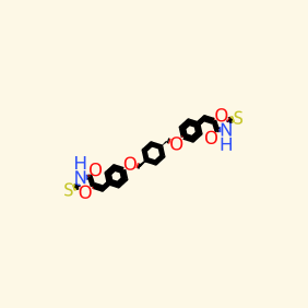 O=C1NC(=S)OC1=Cc1ccc(OC[C@H]2CC[C@H](COc3ccc(C=C4OC(=S)NC4=O)cc3)CC2)cc1